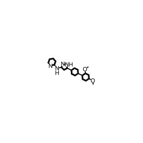 COc1ccc(-c2ccc(-c3cc(Nc4ccccn4)n[nH]3)cc2)c(OC)c1